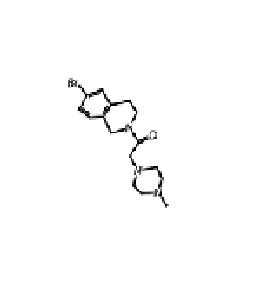 CN1CCN(CC(=O)N2CCc3cc(Br)ccc3C2)CC1